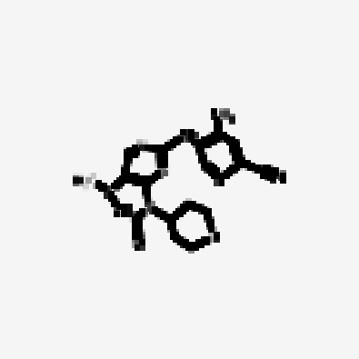 Cc1cc(C#N)ncc1Nc1ncc(N(C)C)c(N(C=O)C2CCOCC2)n1